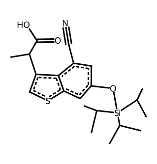 CC(C(=O)O)c1csc2cc(O[Si](C(C)C)(C(C)C)C(C)C)cc(C#N)c12